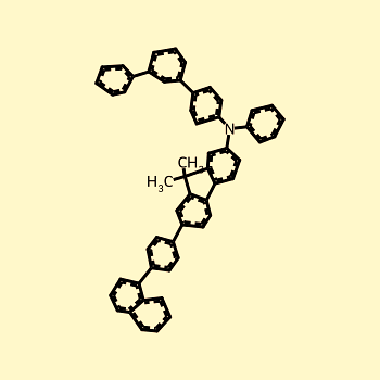 CC1(C)c2cc(-c3ccc(-c4cccc5ccccc45)cc3)ccc2-c2ccc(N(c3ccccc3)c3ccc(-c4cccc(-c5ccccc5)c4)cc3)cc21